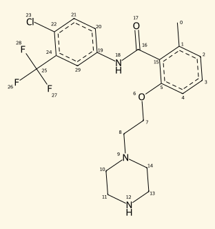 Cc1cccc(OCCN2CCNCC2)c1C(=O)Nc1ccc(Cl)c(C(F)(F)F)c1